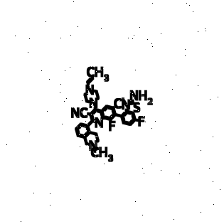 CC=CN1CCN(c2c(C#N)c(-c3cccc4c3CCN(C)C4)nc3c(F)c(-c4ccc(F)c5sc(N)nc45)c(Cl)cc23)CC1